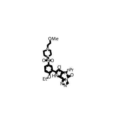 CCCn1c(=O)n2cnnc2c2[nH]c(-c3cc(S(=O)(=O)N4CCN(CCOC)CC4)ccc3OCC)c(Cl)c21